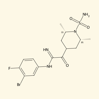 C[C@@H]1CC(C(=O)C(=N)Nc2ccc(F)c(Br)c2)C[C@H](C)N1S(N)(=O)=O